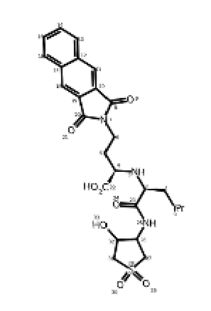 CC(C)C[C@H](N[C@H](CCN1C(=O)c2cc3ccccc3cc2C1=O)C(=O)O)C(=O)NC1CS(=O)(=O)CC1O